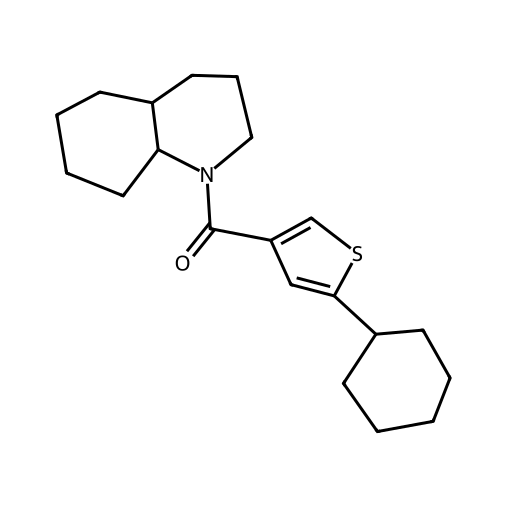 O=C(c1csc(C2CCCCC2)c1)N1CCCC2CCCCC21